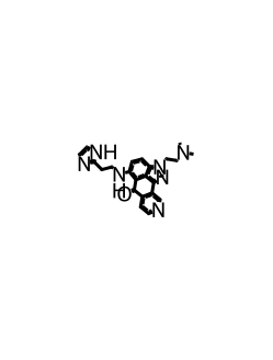 CN(C)CCn1nc2c3c(c(NCCc4ncc[nH]4)ccc31)C(=O)c1ccncc1-2